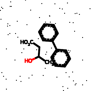 CC(O)CC(=O)O.c1ccc(-c2ccccc2)cc1